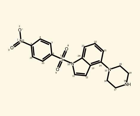 O=[N+]([O-])c1ccc(S(=O)(=O)n2ccc3c(N4CCNCC4)cccc32)cc1